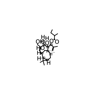 CCC(C)C(=O)O[C@H]1C(C)=C[C@]23C(O)[C@@H](C=C(CO)[C@@H](O)[C@]12O)[C@H]1[C@@H](C[C@H]3C)C1(C)C